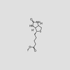 O=C1N[C@H]2[C@H](CS[C@H]2CCCCC(=O)OI)N1